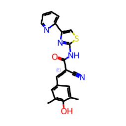 Cc1cc(/C=C(\C#N)C(=O)Nc2nc(-c3ccccn3)cs2)cc(C)c1O